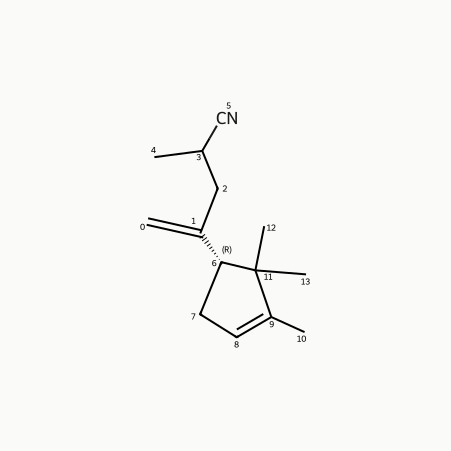 C=C(CC(C)C#N)[C@H]1CC=C(C)C1(C)C